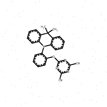 CC1(C)c2ccccc2N(c2ccccc2Oc2nc(C#N)nc(C#N)n2)c2ccccc21